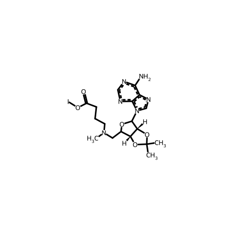 CN(CCCC(=O)OI)CC1OC(n2cnc3c(N)ncnc32)[C@@H]2OC(C)(C)O[C@H]12